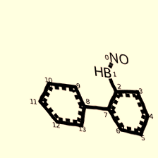 O=NBc1ccccc1-c1ccccc1